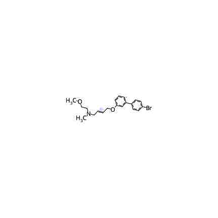 COCCN(C)C/C=C/COc1cc[c]c(-c2ccc(Br)cc2)c1